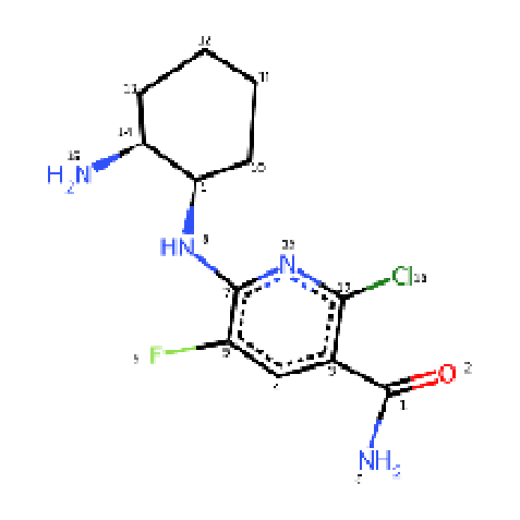 NC(=O)c1cc(F)c(N[C@@H]2CCCC[C@@H]2N)nc1Cl